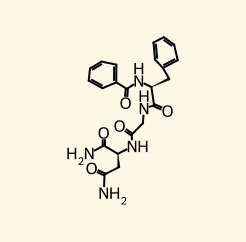 NC(=O)C[C@H](NC(=O)CNC(=O)[C@H](Cc1ccccc1)NC(=O)c1ccccc1)C(N)=O